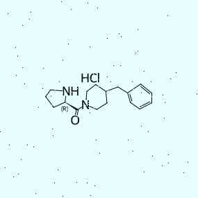 Cl.O=C([C@H]1CCCN1)N1CCC(Cc2ccccc2)CC1